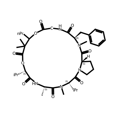 CCCC1OC(=O)CNC(=O)[C@@H](Cc2ccccc2)N(C)C(=O)[C@@H]2CCCN2C(=O)[C@H](C(C)C)N(C)C(=O)[C@H](C)NC(=O)[C@H](C(C)C)OC(=O)C1(C)C